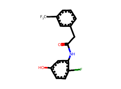 O=C(Cc1cccc(C(F)(F)F)c1)Nc1cc(O)ccc1F